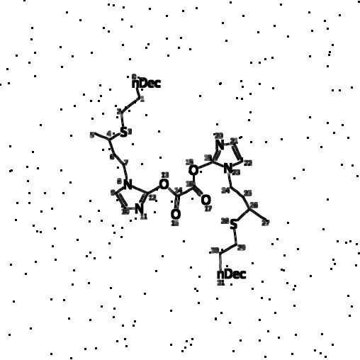 CCCCCCCCCCCCSC(C)CCn1ccnc1OC(=O)C(=O)Oc1nccn1CCC(C)SCCCCCCCCCCCC